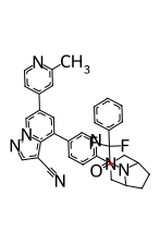 Cc1cc(-c2cc(-c3ccc(N4CC5CCC(C4)N5C(=O)C(F)(F)c4ccccc4)nc3)c3c(C#N)cnn3c2)ccn1